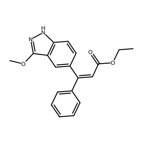 CCOC(=O)/C=C(/c1ccccc1)c1ccc2[nH]nc(OC)c2c1